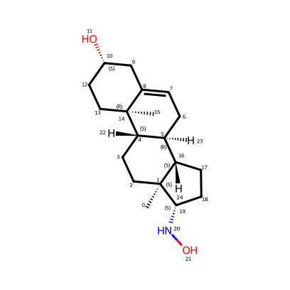 C[C@]12CC[C@H]3[C@@H](CC=C4C[C@@H](O)CC[C@@]43C)[C@@H]1CC[C@@H]2NO